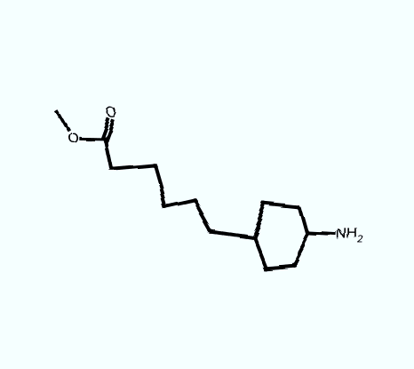 COC(=O)CCCCCC1CCC(N)CC1